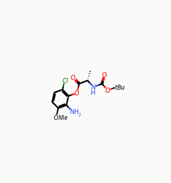 COc1ccc(Cl)c(OC(=O)[C@H](C)NC(=O)OC(C)(C)C)c1N